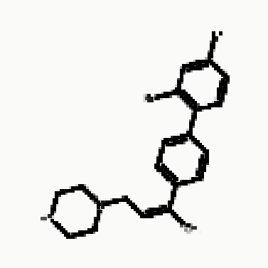 C/C(=C/CN1CCNCC1)c1ccc(-c2ccc(Br)cc2Br)cc1